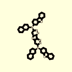 c1ccc2cc(N(c3ccc4c(c3)oc3ccccc34)c3cc4sc5cc(N(c6ccc7ccccc7c6)c6ccc7c(c6)oc6ccccc67)nnc5c4nn3)ccc2c1